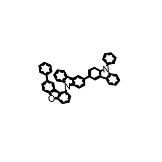 C1=C(c2ccc3c(c2)c2ccccc2n3-c2cccc3oc4ccc(-c5ccccc5)cc4c23)C=C2c3ccccc3N(c3ccccc3)C2C1